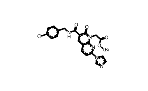 CC(C)(C)OC(=O)Cn1c(=O)c(C(=O)NCc2ccc(Cl)cc2)cc2ccc(-n3ccnc3)nc21